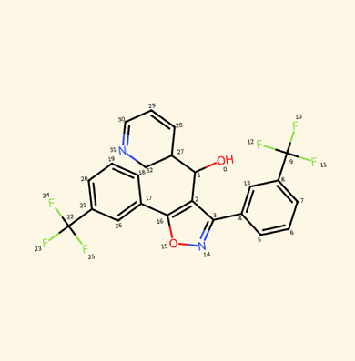 OC(c1c(-c2cccc(C(F)(F)F)c2)noc1-c1cccc(C(F)(F)F)c1)C1C=CC=NC1